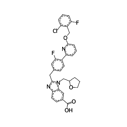 O=C(O)c1ccc2nc(Cc3ccc(-c4cccc(OCc5c(F)cccc5Cl)n4)c(F)c3)n(CC3CCCO3)c2c1